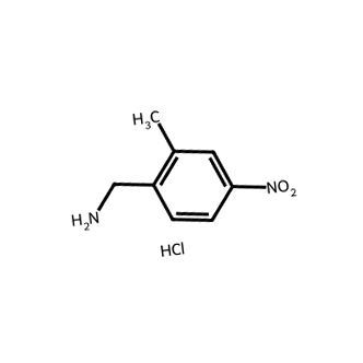 Cc1cc([N+](=O)[O-])ccc1CN.Cl